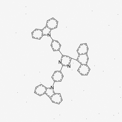 c1ccc2c(-c3cc(-c4ccc(-n5c6ccccc6c6ccccc65)cc4)nc(-c4ccc(-n5c6ccccc6c6ccccc65)cc4)n3)c3ccccc3cc2c1